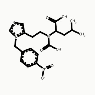 CC(C)CC(C(=O)O)N(CCc1cncn1Cc1ccc([N+](=O)[O-])cc1)C(=O)O